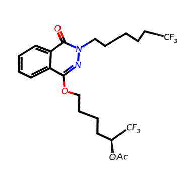 CC(=O)O[C@@H](CCCCOc1nn(CCCCCC(F)(F)F)c(=O)c2ccccc12)C(F)(F)F